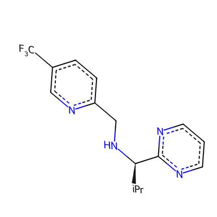 CC(C)[C@@H](NCc1ccc(C(F)(F)F)cn1)c1ncccn1